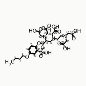 CCCCOc1ccc(OCC(CN(CCN(CC(=O)O)CC(=O)O)CC(=O)O)N(CC(=O)O)CC(=O)O)c(S(=O)(=O)O)c1